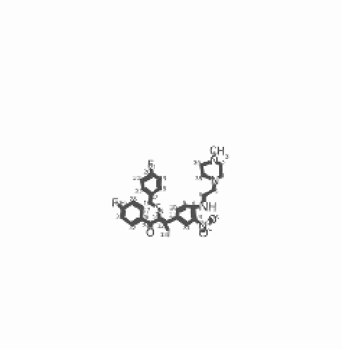 CN1CCN(CCNc2ccc(C(I)=C(SCc3ccc(F)cc3)C(=O)c3ccc(F)cc3)cc2[N+](=O)[O-])CC1